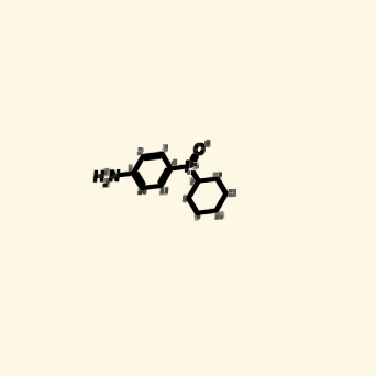 Nc1ccc([P](=O)C2CCCCC2)cc1